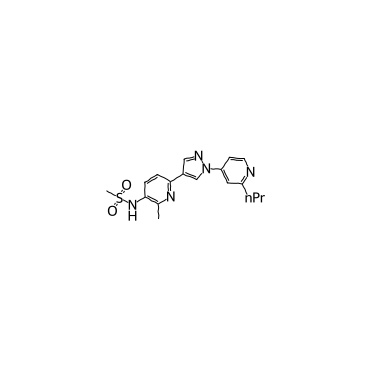 CCCc1cc(-n2cc(-c3ccc(NS(C)(=O)=O)c(C)n3)cn2)ccn1